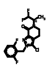 C[C@H](C(F)F)N1CCc2c(nn(Cc3c(F)cccc3F)c2Cl)C1=O